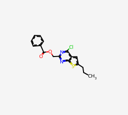 CCCc1cc2c(Cl)nc(COC(=O)c3ccccc3)nc2s1